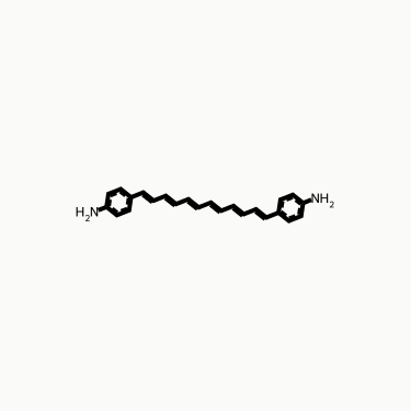 Nc1ccc(C=CC=CC=CC=CC=CC=Cc2ccc(N)cc2)cc1